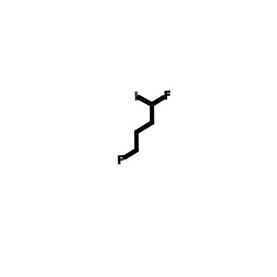 FCCCC(F)I